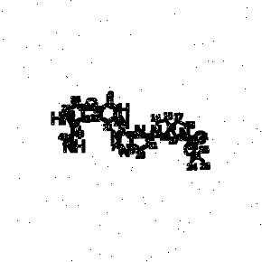 Cc1cc(Nc2ncnc3ccc(N4CCC5(CCN(C(=O)OC(C)(C)C)C5)C4)nc23)ccc1Oc1cc[nH]/c(=N\C=N)c1